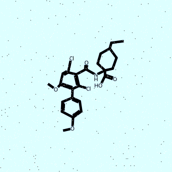 CCC1CCC(NC(=O)c2c(Cl)cc(OC)c(-c3ccc(OC)cc3)c2Cl)(C(=O)O)CC1